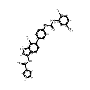 O=C(Nc1ccc(-c2ccc3c(NC(=O)c4ccsc4)n[nH]c3c2F)cc1)Nc1cc(C(F)(F)F)ccc1F